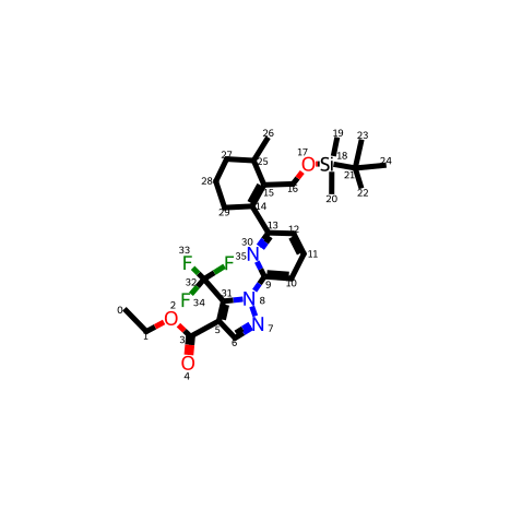 CCOC(=O)c1cnn(-c2cccc(C3=C(CO[Si](C)(C)C(C)(C)C)C(C)CCC3)n2)c1C(F)(F)F